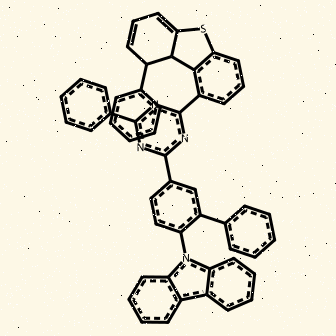 C1=CC(c2ccccc2)C2C(=C1)Sc1cccc(-c3nc(-c4ccccc4)nc(-c4ccc(-n5c6ccccc6c6ccccc65)c(-c5ccccc5)c4)n3)c12